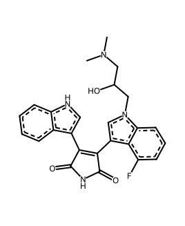 CN(C)CC(O)Cn1cc(C2=C(c3c[nH]c4ccccc34)C(=O)NC2=O)c2c(F)cccc21